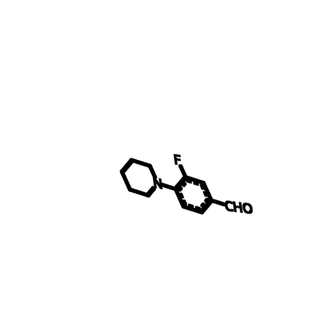 O=Cc1ccc(N2CCCCC2)c(F)c1